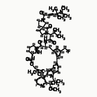 CCn1c(-c2cccnc2[C@H](C)OC)c2c3cc(ccc31)-c1cc(CF)cc(c1)C[C@H](NC(=O)C(C(C)C)N1CC[C@]3(CCN(C(=O)C#CC(C)(C)N(C)C)C3)C1=O)C(=O)N1CCC[C@H](N1)C(=O)OCC(C)(C)C2